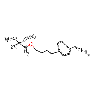 C=Cc1ccc(CCCO[SiH2]C(CC)(OC)OC)cc1